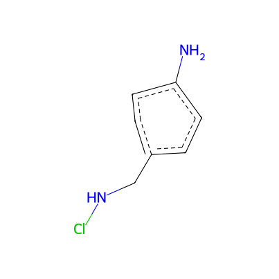 Nc1ccc(CNCl)cc1